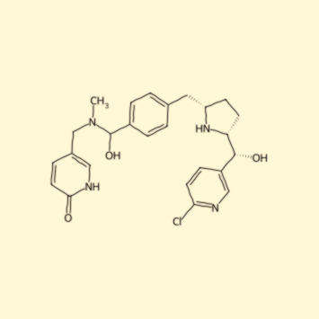 CN(Cc1ccc(=O)[nH]c1)C(O)c1ccc(C[C@@H]2CC[C@H]([C@H](O)c3ccc(Cl)nc3)N2)cc1